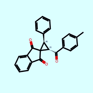 Cc1ccc(C(=O)[C@H]2[C@H](c3ccccc3)C23C(=O)c2ccccc2C3=O)cc1